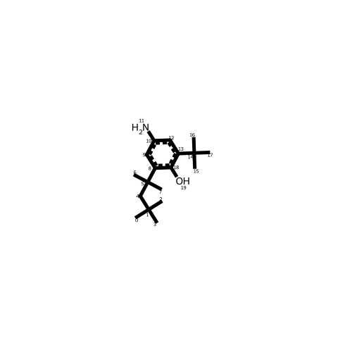 CC(C)(C)CC(C)(C)c1cc(N)cc(C(C)(C)C)c1O